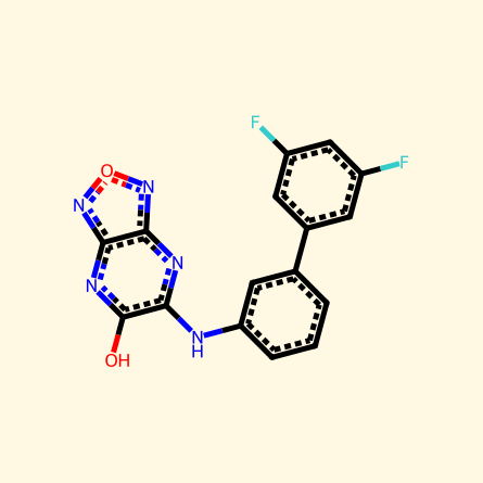 Oc1nc2nonc2nc1Nc1cccc(-c2cc(F)cc(F)c2)c1